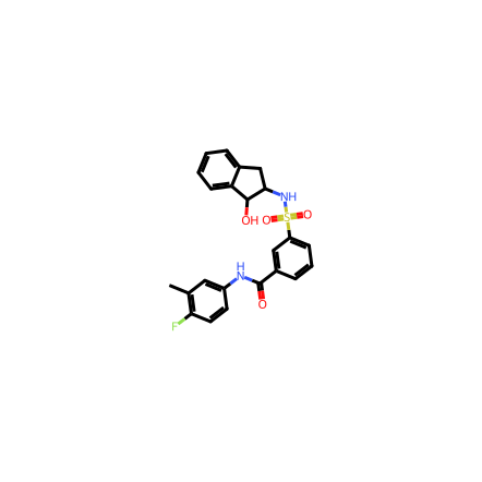 Cc1cc(NC(=O)c2cccc(S(=O)(=O)NC3Cc4ccccc4C3O)c2)ccc1F